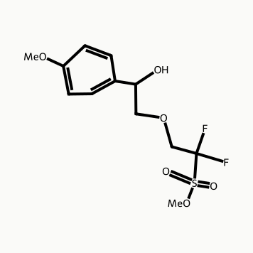 COc1ccc(C(O)COCC(F)(F)S(=O)(=O)OC)cc1